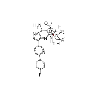 CS(=O)(=O)c1c([C@H]2C[C@H]3CC[C@@H](C2)N3C(N)=O)nc2c(-c3ccc(-c4ccc(F)cc4)nc3)cnn2c1N